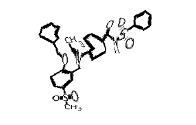 CCN(Cc1cc(S(C)(=O)=O)ccc1OCc1ccccc1)c1ccc(C(=O)NS(=O)(=O)c2ccccc2)cc1